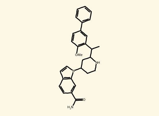 COc1ccc(-c2ccccc2)cc1C(C)C1CC(n2ccc3ccc(C(N)=O)cc32)CCN1